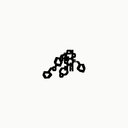 N#C[C@H](Cc1ccc(OCc2ccccc2)cc1)NC(=O)[C@H](Cc1ccccc1)NC(=O)N1CCOCC1